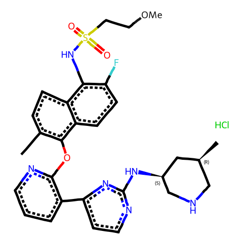 COCCS(=O)(=O)Nc1c(F)ccc2c(Oc3ncccc3-c3ccnc(N[C@@H]4CNC[C@H](C)C4)n3)c(C)ccc12.Cl